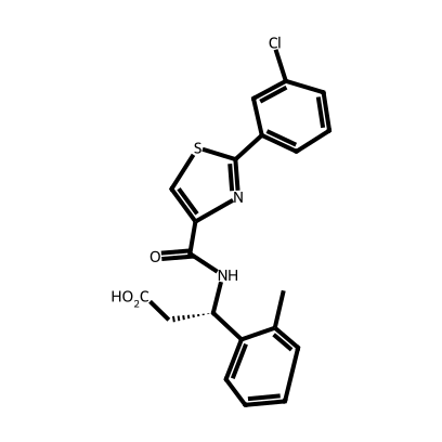 Cc1ccccc1[C@H](CC(=O)O)NC(=O)c1csc(-c2cccc(Cl)c2)n1